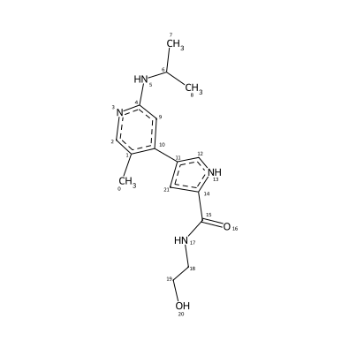 Cc1cnc(NC(C)C)cc1-c1c[nH]c(C(=O)NCCO)c1